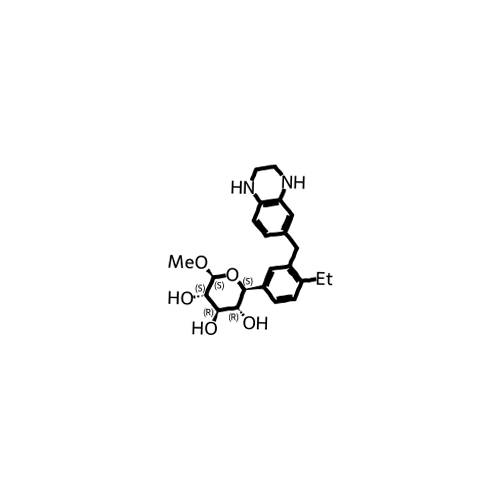 CCc1ccc([C@@H]2O[C@H](OC)[C@@H](O)[C@H](O)[C@H]2O)cc1Cc1ccc2c(c1)NCCN2